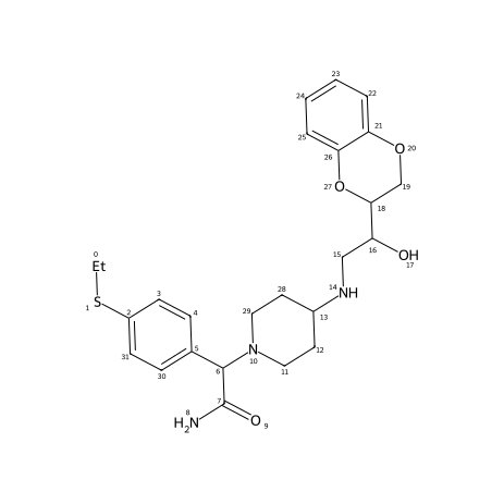 CCSc1ccc(C(C(N)=O)N2CCC(NCC(O)C3COc4ccccc4O3)CC2)cc1